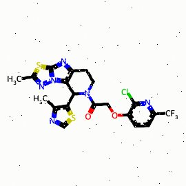 Cc1nn2c3c(nc2s1)CCN(C(=O)COc1ccc(C(F)(F)F)nc1Cl)C3c1scnc1C